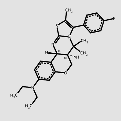 CCN(CC)c1ccc2c(c1)OC[C@H]1[C@H]2N=C2SC(C)=C(c3ccc(F)cc3)N2C1(C)C